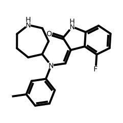 Cc1cccc(N(/C=C2\C(=O)Nc3cccc(F)c32)C2CCCNCC2)c1